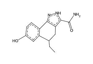 CCC1Cc2c(n[nH]c2C(N)=O)-c2ccc(O)cc21